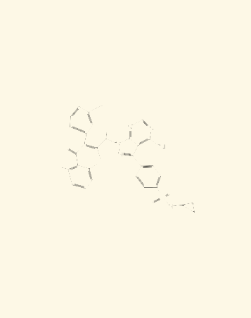 CC(c1oc2cccc(F)c2c(=O)c1-c1cccc(F)c1)n1nc(-c2ccc(S(=O)(=O)NC3CC3)cc2)c2c(N)ncnc21